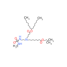 CCCCCCCCC(CCCCCCCC)OC(=O)CCCCN(CCCCCCCCC(=O)OCCC(C)C)CCCNc1c(NC)c(=O)c1=O